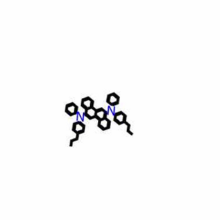 CCCc1ccc(N(c2ccccc2)c2cc3c4ccccc4c(N(c4ccccc4)c4ccc(CCC)cc4)cc3c3ccccc23)cc1